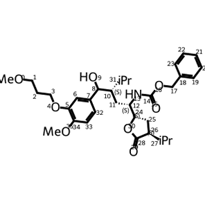 COCCCOc1cc(C(O)[C@@H](C[C@H](NC(=O)OCc2ccccc2)[C@@H]2C[C@@H](C(C)C)C(=O)O2)C(C)C)ccc1OC